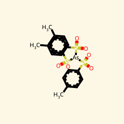 Cc1ccc(S(=O)(=O)[As](S(=O)(=O)c2ccc(C)cc2)S(=O)(=O)c2ccc(C)cc2)cc1